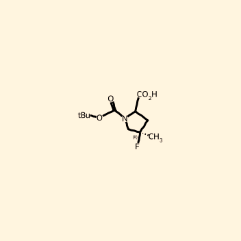 CC(C)(C)OC(=O)N1C[C@](C)(F)CC1C(=O)O